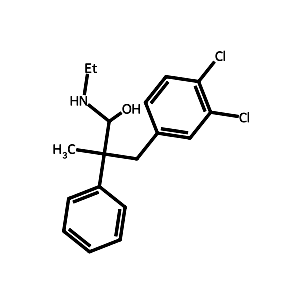 CCNC(O)C(C)(Cc1ccc(Cl)c(Cl)c1)c1ccccc1